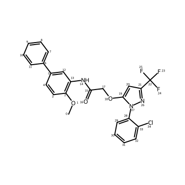 COc1ccc(-c2ccccc2)cc1NC(=O)COc1cc(C(F)(F)F)nn1-c1ccccc1Cl